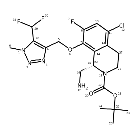 Cn1nnc(COc2c(F)cc(Cl)c3c2[C@@H](CN)N(C(=O)OC(C)(C)C)CC3)c1C(F)F